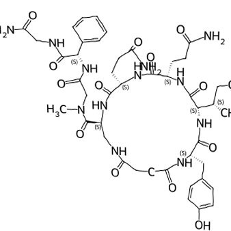 CC[C@H](C)[C@@H]1NC(=O)[C@H](Cc2ccc(O)cc2)NC(=O)CCC(=O)NC[C@@H](C(=O)N(C)CC(=O)N[C@H](C(=O)NCC(N)=O)c2ccccc2)NC(=O)[C@H](CCC(N)=O)NC(=O)[C@H](CCC(N)=O)NC1=O